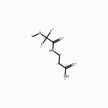 COC(F)(F)C(=O)NCCC(=O)O